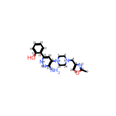 Cc1nc(CN2CCN(c3cc(-c4ccccc4O)nnc3N)CC2)co1